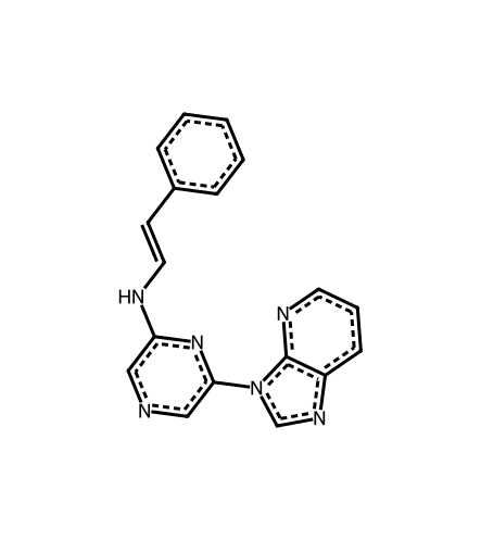 C(=Cc1ccccc1)Nc1cncc(-n2cnc3cccnc32)n1